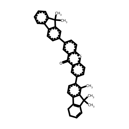 Cc1c(-c2ccc3sc4ccc(-c5ccc6c(c5)C(C)(C)c5ccccc5-6)cc4c(=O)c3c2)ccc2c1C(C)(C)C1=C2CCC=C1